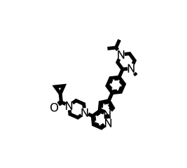 CC(C)N1CCN(C)C(c2ccc(-c3cc4c(N5CCN(C(=O)C6CC6)CC5)ccnn4c3)cc2)C1